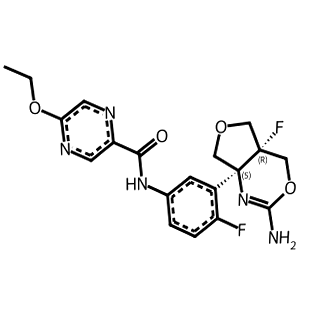 CCOc1cnc(C(=O)Nc2ccc(F)c([C@]34COC[C@@]3(F)COC(N)=N4)c2)cn1